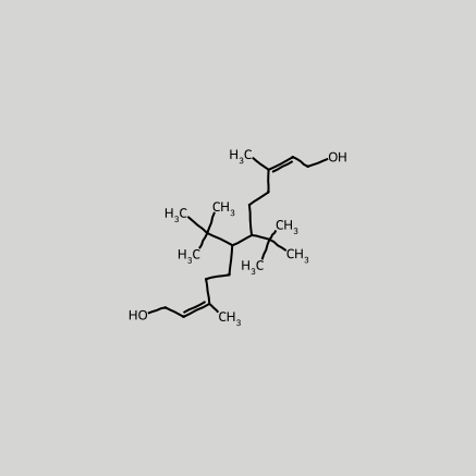 C/C(=C/CO)CCC(C(CC/C(C)=C\CO)C(C)(C)C)C(C)(C)C